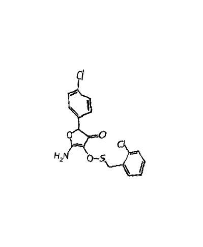 NC1=C(OSCc2ccccc2Cl)C(=O)C(c2ccc(Cl)cc2)O1